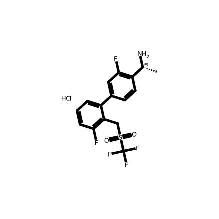 C[C@@H](N)c1ccc(-c2cccc(F)c2CS(=O)(=O)C(F)(F)F)cc1F.Cl